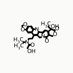 CCC1(O)C(=O)OCc2c1cc1n(c2=O)Cc2c-1nc1cc3c(cc1c2CCN(C(=O)CO)C(C)C)OCO3